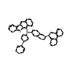 c1ccc(-c2ccc(N(c3ccc4cc(-c5cc6ccccc6c6ccccc56)ccc4c3)c3c4ccccc4cc4c3sc3ccccc34)cc2)cc1